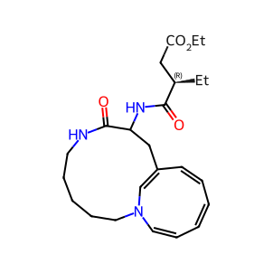 CCOC(=O)C[C@@H](CC)C(=O)NC1Cc2ccccccn(c2)CCCCCNC1=O